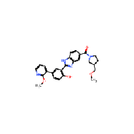 COCC1CCN(C(=O)c2ccc3[nH]c(-c4cc(-c5cccnc5OC)ccc4O)nc3c2)C1